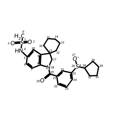 CS(=O)(=O)Nc1ccc2c(c1)C1(CCCCC1)CN2C(=O)c1cccc([S+]([O-])C2CCCC2)c1